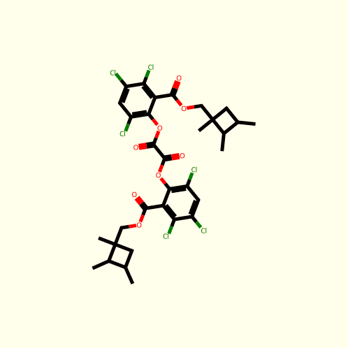 CC1CC(C)(COC(=O)c2c(Cl)c(Cl)cc(Cl)c2OC(=O)C(=O)Oc2c(Cl)cc(Cl)c(Cl)c2C(=O)OCC2(C)CC(C)C2C)C1C